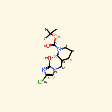 CC(C)(C)OC(=O)N1CCCC(Cn2cc(Cl)nc2Br)C1